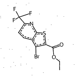 CCOC(=O)c1sc2nc(C(F)(F)F)ccc2c1Br